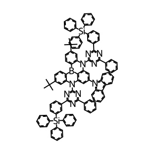 CC(C)(C)c1ccc2c(c1)N(c1nc(-c3ccccc3)nc(-c3cccc([Si](c4ccccc4)(c4ccccc4)c4ccccc4)c3)n1)c1cc(-n3c4ccccc4c4ccccc43)cc3c1B2c1ccc(C(C)(C)C)cc1N3c1nc(-c2ccccc2)nc(-c2cccc([Si](c3ccccc3)(c3ccccc3)c3ccccc3)c2)n1